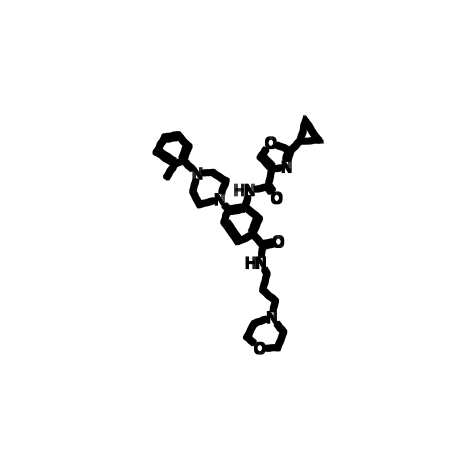 Cc1ccccc1N1CCN(c2ccc(C(=O)NCCCN3CCOCC3)cc2NC(=O)c2coc(C3CC3)n2)CC1